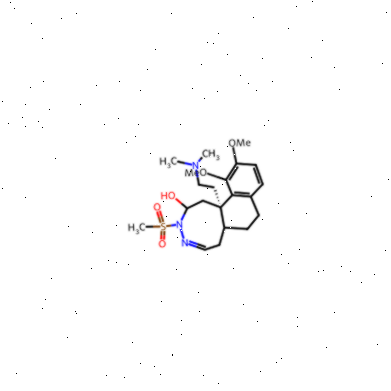 COc1ccc2c(c1OC)[C@]1(CCN(C)C)CC(O)N(S(C)(=O)=O)/N=C\CC1CC2